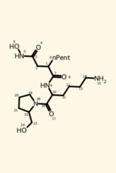 CCCCCC(CC(=O)NO)C(=O)NC(CCCCN)C(=O)N1CCCC1CO